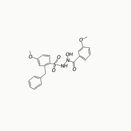 COc1cccc(C(=O)N(O)NS(=O)(=O)c2ccc(OC)cc2Cc2ccccc2)c1